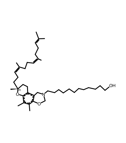 CC(C)=CCCC(C)=CCCC(C)=CCC[C@]1(C)CCc2c3c(c(C)c(C)c2O1)OCN(CCCCCCCCCCCCO)C3